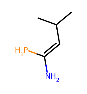 CC(C)/C=C(/N)P